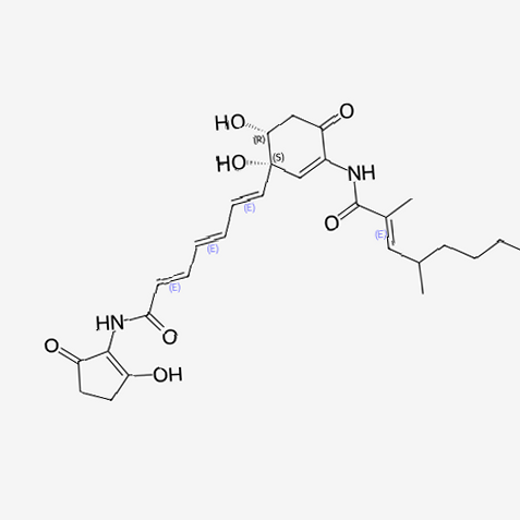 CCCCC(C)/C=C(\C)C(=O)NC1=C[C@@](O)(/C=C/C=C/C=C/C(=O)NC2=C(O)CCC2=O)[C@H](O)CC1=O